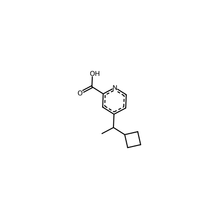 CC(c1ccnc(C(=O)O)c1)C1CCC1